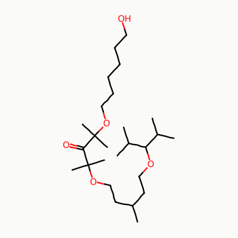 CC(CCOC(C(C)C)C(C)C)CCOC(C)(C)C(=O)C(C)(C)OCCCCCCO